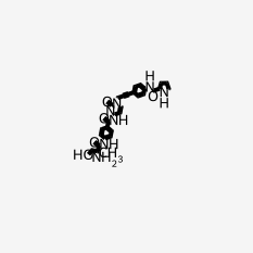 CC(N)(CO)C(=O)Nc1ccc(C(=O)Nc2ccn(CC#Cc3ccc(NC(=O)C4CCCN4)cc3)c(=O)n2)cc1